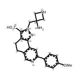 COc1ccc(-c2cc3c(cn2)CCc2c-3nn(CC3(N)CNC3)c2C(=O)O)cc1